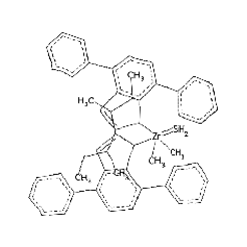 CCC(C)C1=Cc2c(-c3ccccc3)ccc(-c3ccccc3)c2[CH]1[Zr]([CH3])([CH3])(=[SiH2])[CH]1C(C(C)CC)=Cc2c(-c3ccccc3)ccc(-c3ccccc3)c21